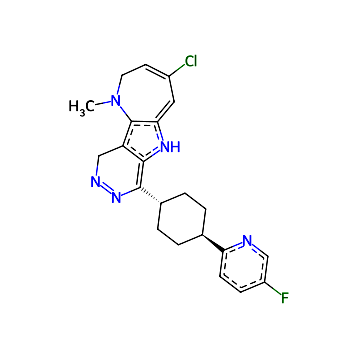 CN1CC=C(Cl)C=c2[nH]c3c(c21)CN=NC=3[C@H]1CC[C@H](c2ccc(F)cn2)CC1